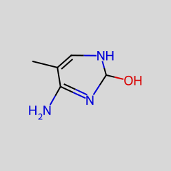 CC1=CNC(O)N=C1N